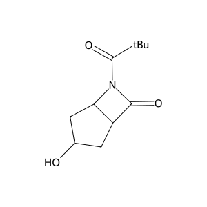 CC(C)(C)C(=O)N1C(=O)C2CC(O)CC21